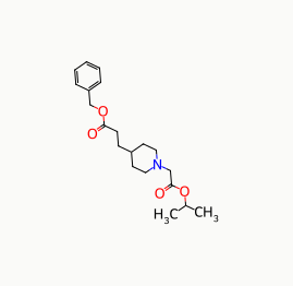 CC(C)OC(=O)CN1CCC(CCC(=O)OCc2ccccc2)CC1